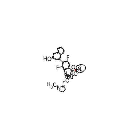 CN1CCC[C@H]1COc1nc(N2CC3CCC(C2)N3C(=O)OC(C)(C)C)c2cc(F)c(-c3cc(O)cc4ccccc34)c(F)c2n1